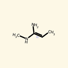 C/C=C(\N)NC